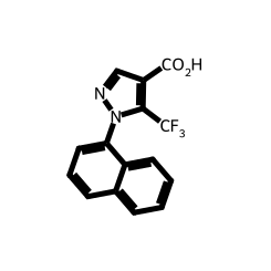 O=C(O)c1cnn(-c2cccc3ccccc23)c1C(F)(F)F